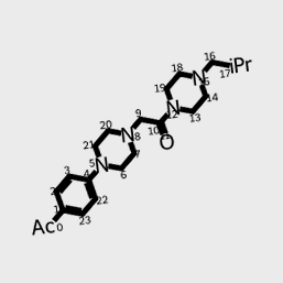 CC(=O)c1ccc(N2CCN(CC(=O)N3CCN(CC(C)C)CC3)CC2)cc1